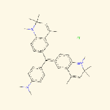 CC1=CC(C)(C)N(C)c2ccc(C(c3ccc(N(C)C)cc3)=c3ccc4c(c3)C(C)=CC(C)(C)[N+]=4C)cc21.[Cl-]